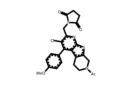 COc1ccc(-c2c(Cl)c(CN3C(=O)CCC3=O)nc3sc4c(c23)CCN(C(C)=O)C4)cc1